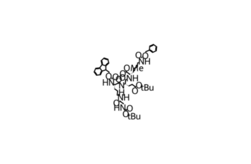 COC(=O)[C@H](CCCCNC(=O)OCc1ccccc1)NC(=O)[C@H](CCC(=O)OC(C)(C)C)NC(=O)[C@H](CCCNC(=O)CNC(=O)OC(C)(C)C)NC(=O)OCC1c2ccccc2-c2ccccc21